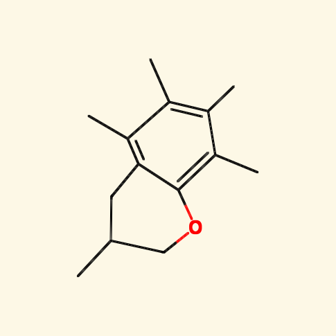 Cc1c(C)c(C)c2c(c1C)CC(C)CO2